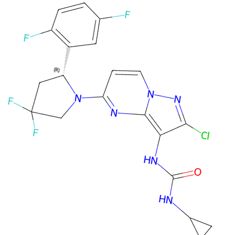 O=C(Nc1c(Cl)nn2ccc(N3CC(F)(F)C[C@@H]3c3cc(F)ccc3F)nc12)NC1CC1